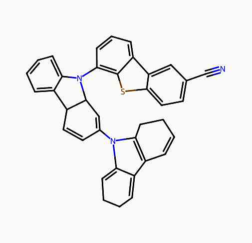 N#Cc1ccc2sc3c(N4c5ccccc5C5C=CC(n6c7c(c8c6=CCCC=8)C=CCC7)=CC54)cccc3c2c1